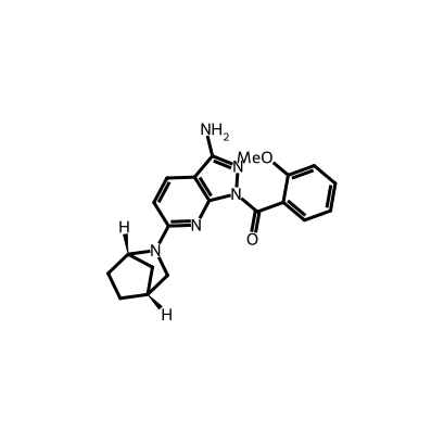 COc1ccccc1C(=O)n1nc(N)c2ccc(N3C[C@@H]4CC[C@H]3C4)nc21